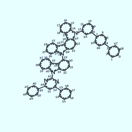 c1ccc(-c2ccc(-c3cccc(-n4c5ccccc5c5c6c7ccccc7n(-c7cccc8c7c7ccccc7n8-c7nc(-c8ccccc8)cc(-c8ccccc8)n7)c6ccc54)c3)cc2)cc1